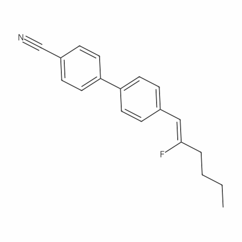 CCCCC(F)=Cc1ccc(-c2ccc(C#N)cc2)cc1